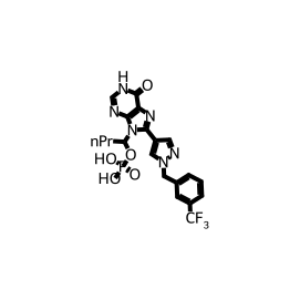 CCCC(OP(=O)(O)O)n1c(-c2cnn(Cc3cccc(C(F)(F)F)c3)c2)nc2c(=O)[nH]cnc21